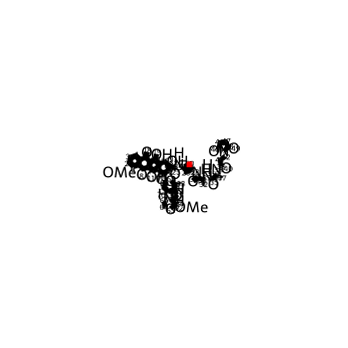 COc1cccc2c1C(=O)c1c(O)c3c(c(O)c1C2=O)C[C@@](O)(C(=O)NC12CC(NC(=O)[C@H](C)NC(=O)[C@H](C)NC(=O)CCN4C(=O)C=CC4=O)(C1)C2)C[C@@H]3O[C@H]1C[C@H]2[C@H](O[C@@H]3[C@@H](OC)OCCN32)[C@H](C)O1